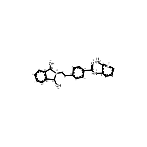 Nc1ccccc1NC(=O)c1ccc(CCN2C(O)c3ccccc3C2O)cc1